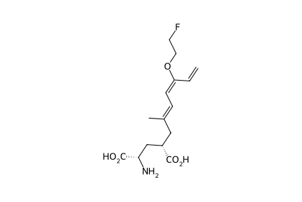 C=C/C(=C\C=C(/C)C[C@@H](C[C@H](N)C(=O)O)C(=O)O)OCCF